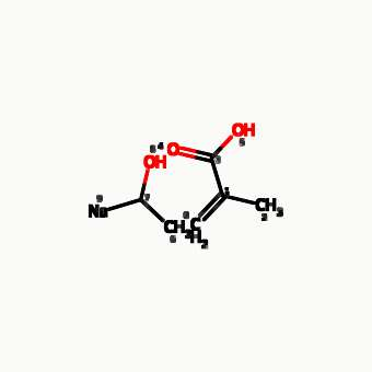 C=C(C)C(=O)O.C[CH](O)[Na]